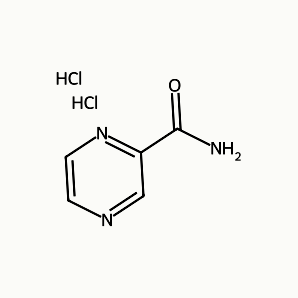 Cl.Cl.NC(=O)c1cnccn1